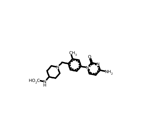 Cc1cc(-n2ccc(N)nc2=O)ccc1CN1CCC(NC(=O)O)CC1